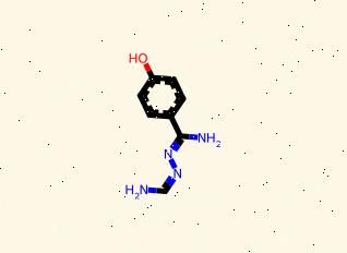 N/C=N\N=C(/N)c1ccc(O)cc1